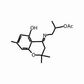 CC(=O)OC(C)CN=C1CC(C)(C)Oc2cc(C)cc(O)c21